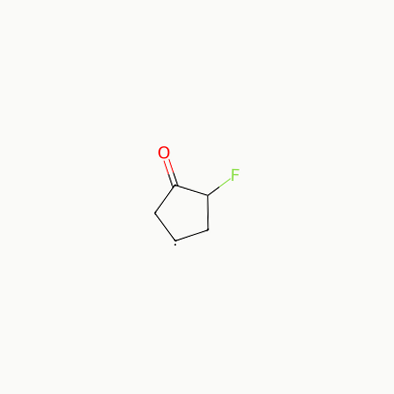 O=C1C[CH]CC1F